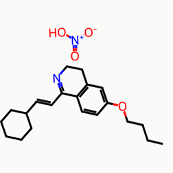 CCCCOc1ccc2c(c1)CCN=C2C=CC1CCCCC1.O=[N+]([O-])O